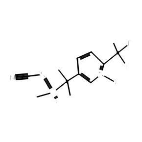 CC(C)(c1ccc(C(F)(F)F)[n+]([O-])c1)S(C)(=O)=NC#N